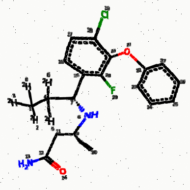 [2H]C([2H])([2H])C([2H])([2H])[C@@H](N[C@@H](C)CC(N)=O)c1ccc(Cl)c(Oc2ccccc2)c1F